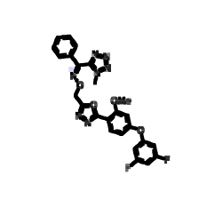 COc1cc(Oc2cc(F)cc(F)c2)ccc1-c1nnc(CO/N=C(/c2ccccc2)c2nnnn2C)o1